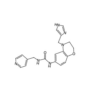 O=C(NCc1ccncc1)Nc1ccc2c(c1)N(Cc1c[nH]cn1)CCO2